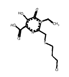 CCn1c(CSCCCCl)nc(C(=O)O)c(O)c1=O